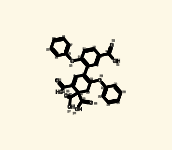 O=C(O)C1=CC(c2cc(C(=O)O)ccc2Oc2ccccc2)=C(Oc2ccccc2)CC1(C(=O)O)C(=O)O